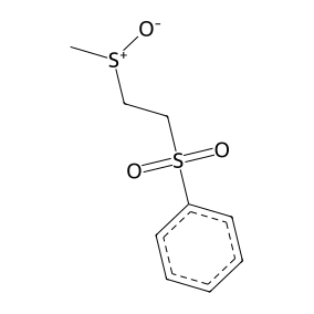 C[S+]([O-])CCS(=O)(=O)c1ccccc1